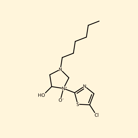 CCCCCCN1CC(O)[N+]([O-])(c2ncc(Cl)s2)C1